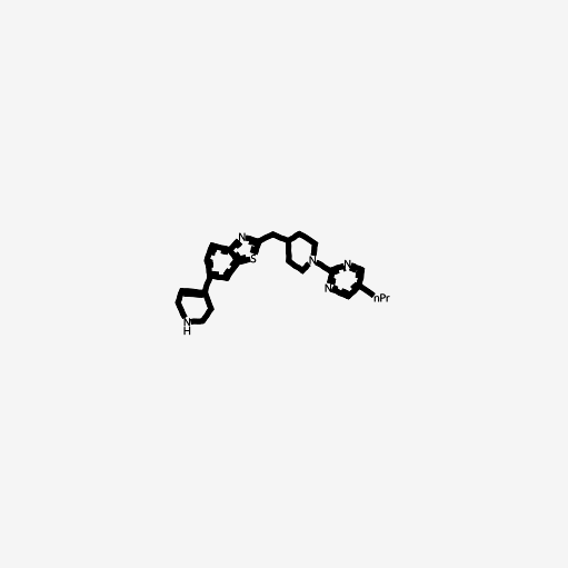 CCCc1cnc(N2CCC(Cc3nc4ccc(C5=CCNCC5)cc4s3)CC2)nc1